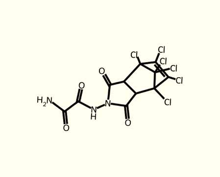 NC(=O)C(=O)NN1C(=O)C2C(C1=O)C1(Cl)C(Cl)=C(Cl)C2(Cl)C1(Cl)Cl